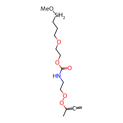 C=C=C(C)OOCCNC(=O)OCCOCCC[SiH2]OC